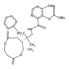 COc1ccnc(C(=O)NCC(C)(C(=O)O)[C@@H]2[C@H](C)OC(=O)CCOC(=O)[C@@H]2Cc2ccccc2)c1OC(=O)OCC(C)C